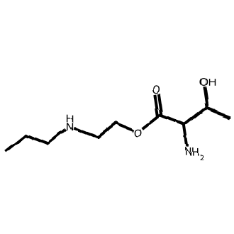 CCCNCCOC(=O)C(N)C(C)O